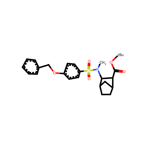 CN(C1C2CCC(C2)C1C(=O)OC(C)(C)C)S(=O)(=O)c1ccc(OCc2ccccc2)cc1